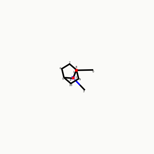 CC1N(C)C2C3CCC12CC3